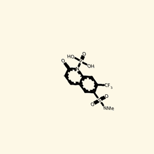 CNS(=O)(=O)c1cc2c[c]c(=O)n(P(=O)(O)O)c2cc1C(F)(F)F